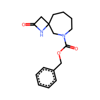 O=C1CC2(CCCCN(C(=O)OCc3ccccc3)C2)N1